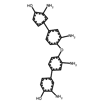 Nc1cc(-c2ccc(Oc3ccc(-c4ccc(O)c(N)c4)cc3N)c(N)c2)ccc1O